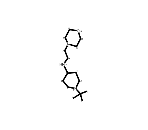 CC(C)(C)N1CCC(NCCN2CCOCC2)CC1